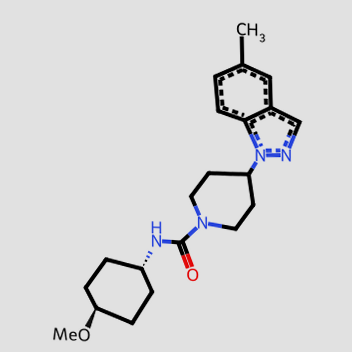 CO[C@H]1CC[C@H](NC(=O)N2CCC(n3ncc4cc(C)ccc43)CC2)CC1